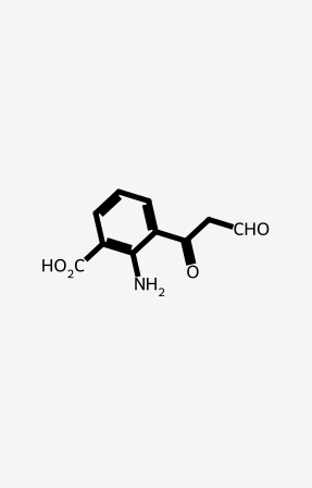 Nc1c(C(=O)O)cccc1C(=O)CC=O